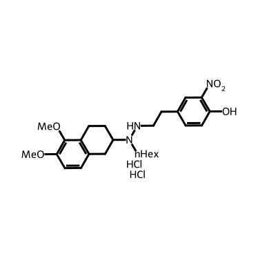 CCCCCCN(NCCc1ccc(O)c([N+](=O)[O-])c1)C1CCc2c(ccc(OC)c2OC)C1.Cl.Cl